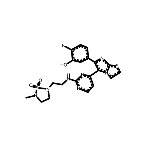 CN1CCN(CCNc2nccc(-c3c(-c4ccc(F)c(O)c4)nc4sccn34)n2)S1(=O)=O